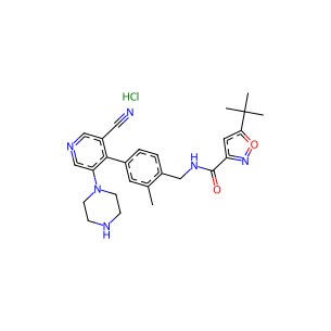 Cc1cc(-c2c(C#N)cncc2N2CCNCC2)ccc1CNC(=O)c1cc(C(C)(C)C)on1.Cl